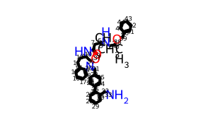 C[C@H](CNC(C)(C)CC(=O)N[C@@H]1CCc2ccccc2N(Cc2ccc(-c3ccccc3CN)cc2)C1=O)OCc1ccccc1